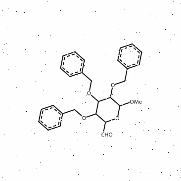 COC1OC(C=O)C(OCc2ccccc2)C(OCc2ccccc2)C1OCc1ccccc1